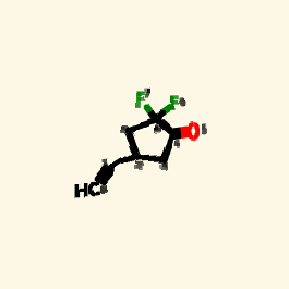 C#CC1CC(=O)C(F)(F)C1